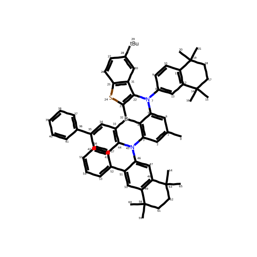 Cc1cc2c3c(c1)N(c1ccc4c(c1)C(C)(C)CCC4(C)C)c1c(sc4ccc(C(C)(C)C)cc14)B3c1cc(-c3ccccc3)ccc1N2c1cc2c(cc1-c1ccccc1)C(C)(C)CCC2(C)C